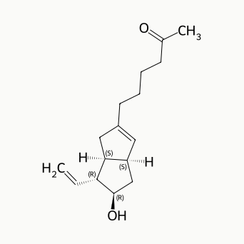 C=C[C@@H]1[C@H]2CC(CCCCC(C)=O)=C[C@H]2C[C@H]1O